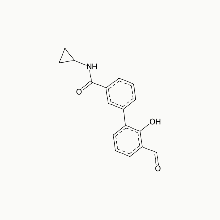 O=Cc1cccc(-c2cccc(C(=O)NC3CC3)c2)c1O